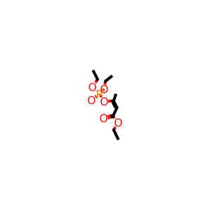 CCOC(=O)C=C(C)OP(=O)(OCC)OCC